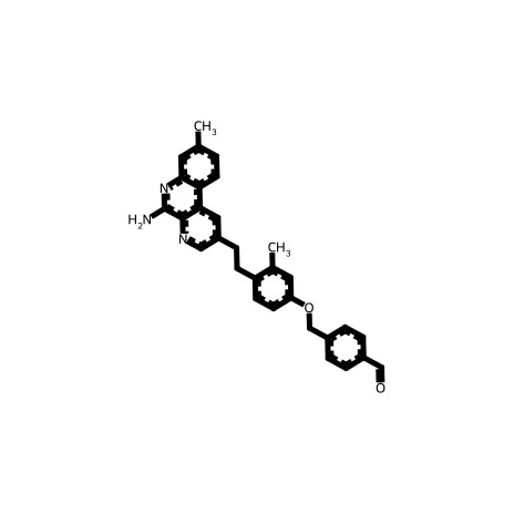 Cc1ccc2c(c1)nc(N)c1ncc(CCc3ccc(OCc4ccc(C=O)cc4)cc3C)cc12